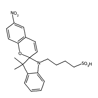 CC1(C)c2ccccc2N(CCCCS(=O)(=O)O)C12C=Cc1cc([N+](=O)[O-])ccc1O2